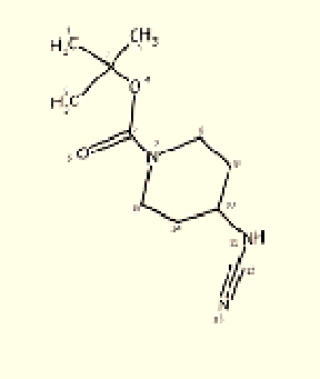 CC(C)(C)OC(=O)N1CCC(NC#N)CC1